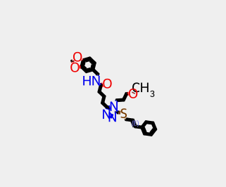 COCCCn1c(CCCC(=O)NCc2ccc3c(c2)OCO3)nnc1SC/C=C/C1=CC=CCC1